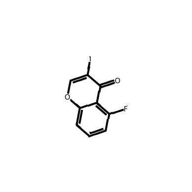 O=c1c(I)coc2cccc(F)c12